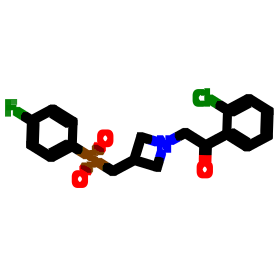 O=C(CN1CC(CS(=O)(=O)c2ccc(F)cc2)C1)c1ccccc1Cl